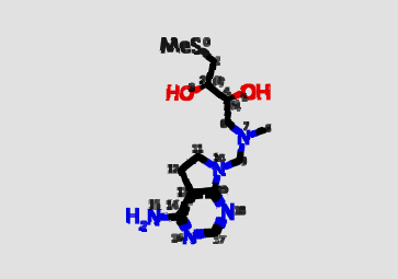 CSC[C@H](O)[C@@H](O)CN(C)CN1CCc2c(N)ncnc21